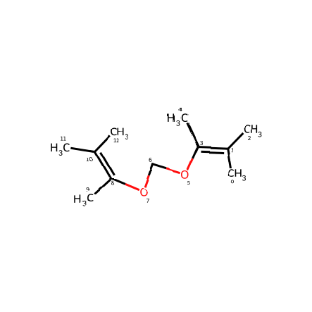 CC(C)=C(C)OCOC(C)=C(C)C